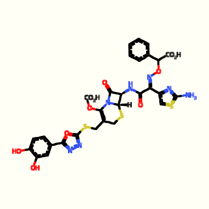 Nc1nc(C(=NOC(C(=O)O)c2ccccc2)C(=O)N[C@@H]2C(=O)N3C(OC(=O)O)=C(CSc4nnc(-c5ccc(O)c(O)c5)o4)CS[C@@H]23)cs1